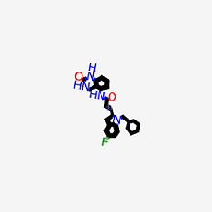 O=C(/C=C/c1cc2cc(F)ccc2n1CC1CCCCC1)Nc1cccc2c1CNC(=O)N2